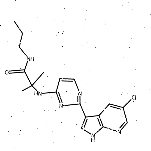 CCCNC(=O)C(C)(C)Nc1ccnc(-c2c[nH]c3ncc(Cl)cc23)n1